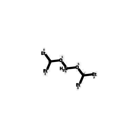 CCC(CC)O[SiH2]OC(CC)CC